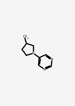 FC(F)(F)C1CCN(c2cncnc2)C1